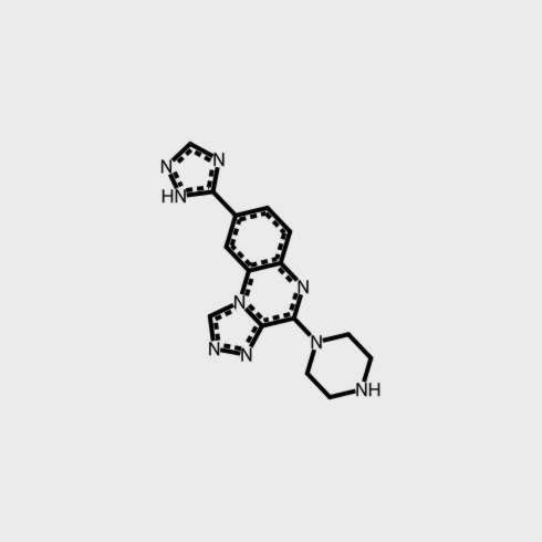 c1n[nH]c(-c2ccc3nc(N4CCNCC4)c4nncn4c3c2)n1